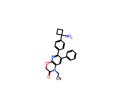 N#CCN1C(=O)COc2nc(-c3ccc(C4(N)CCC4)cc3)c(-c3ccccc3)cc21